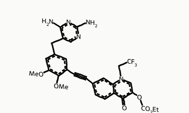 CCOC(=O)Oc1cn(CC(F)(F)F)c2cc(C#Cc3cc(Cc4cnc(N)nc4N)cc(OC)c3OC)ccc2c1=O